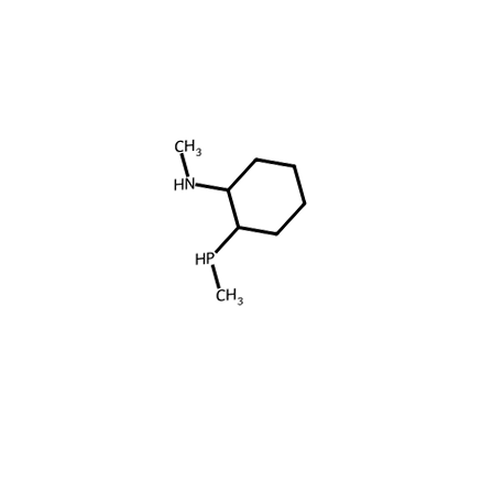 CNC1CCCCC1PC